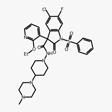 CCOc1ncccc1C1(C(=O)NN2CCC(N3CCN(C)CC3)CC2)C(=O)N(S(=O)(=O)c2ccccc2)c2cc(F)c(Cl)cc21